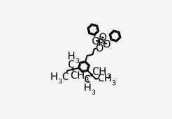 CCC(C)(C)c1cc(CCCOP(=O)(Oc2ccccc2)Oc2ccccc2)cc(C(C)(C)CC)c1